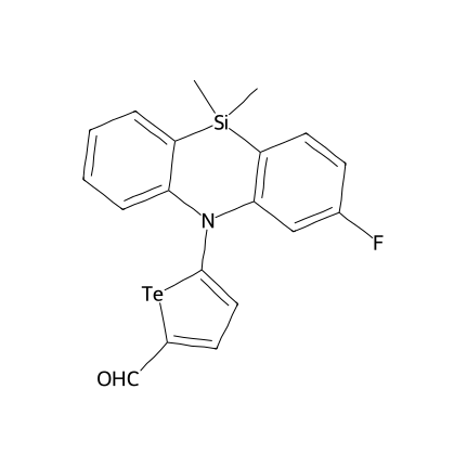 C[Si]1(C)c2ccccc2N(c2ccc(C=O)[te]2)c2cc(F)ccc21